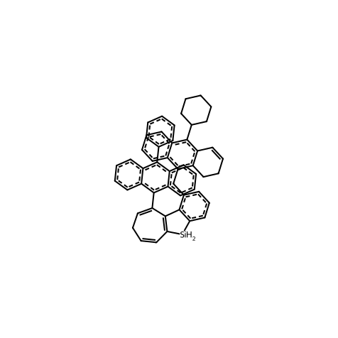 C1=CC2=C(C(c3c4ccccc4c(-c4ccccc4)c4ccccc34)=CC1)c1c(Cc3c4c(c(C5CCCCC5)c5ccccc35)C=CCC4)cccc1[SiH2]2